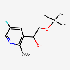 COc1ncc(F)cc1C(O)CO[Si](C(C)C)(C(C)C)C(C)C